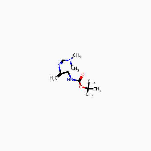 C=C(CNC(=O)OC(C)(C)C)/N=C\N(C)C